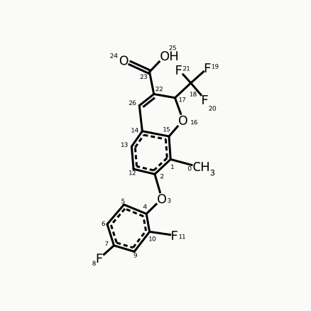 Cc1c(Oc2ccc(F)cc2F)ccc2c1OC(C(F)(F)F)C(C(=O)O)=C2